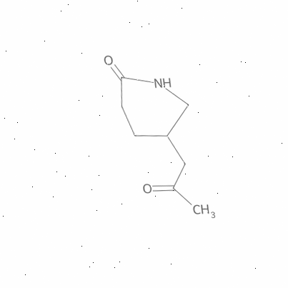 CC(=O)CC1CCC(=O)NC1